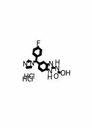 Cl.Cl.O=C(O)Nc1nc2cc(C(c3ccc(F)cc3)n3ccnc3)ccc2[nH]1